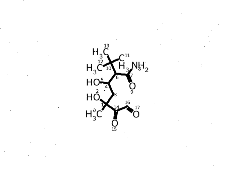 CC(O)(CC(O)C(C(N)=O)C(C)(C)C)C(=O)C=O